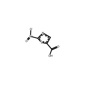 O=C(O)c1cnc([N+](=O)[O-])s1